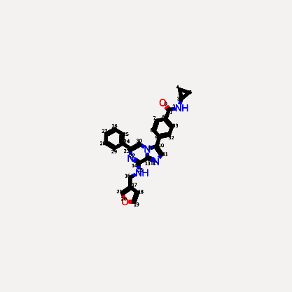 O=C(NC1CC1)c1ccc(-c2cnc3c(NCc4ccoc4)nc(-c4ccccc4)cn23)cc1